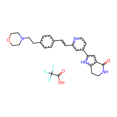 O=C(O)C(F)(F)F.O=C1NCCc2[nH]c(-c3ccnc(/C=C/c4ccc(CCN5CCOCC5)cc4)c3)cc21